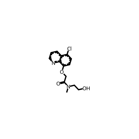 CN(CCO)C(=O)COc1ccc(Cl)c2cccnc12